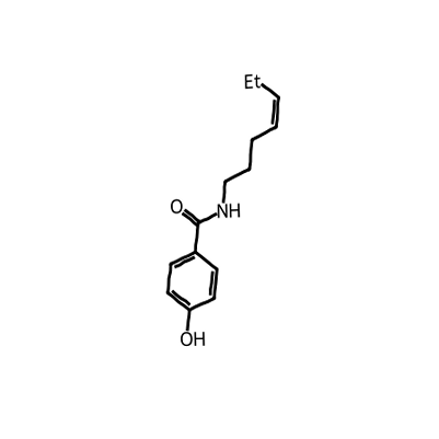 CC/C=C\CCCNC(=O)c1ccc(O)cc1